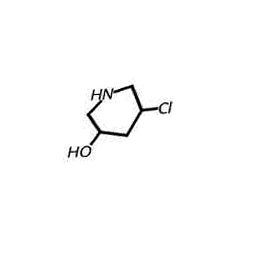 OC1CNCC(Cl)C1